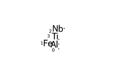 [Al].[Fe].[Nb].[Ti]